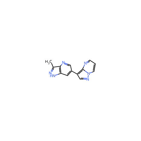 Cc1n[nH]c2cc(-c3cnn4cccnc34)cnc12